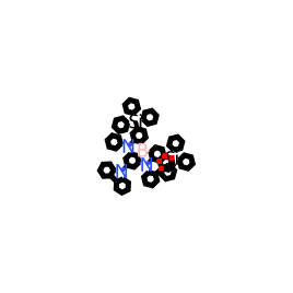 c1ccc(-c2ccccc2N2c3cc([Si](c4ccccc4)(c4ccccc4)c4ccccc4)ccc3B3c4ccc([Si](c5ccccc5)(c5ccccc5)c5ccccc5)cc4N(c4ccccc4)c4cc(-n5c6ccccc6c6ccccc65)cc2c43)cc1